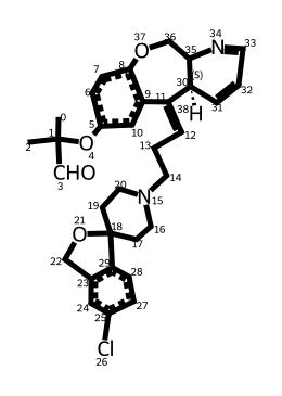 CC(C)(C=O)Oc1ccc2c(c1)C(=CCCN1CCC3(CC1)OCc1cc(Cl)ccc13)[C@@H]1C=CC=NC1CO2